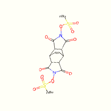 CCCCS(=O)(=O)ON1C(=O)C2C3C=CC(C2C1=O)C1C(=O)N(OS(=O)(=O)CCCC)C(=O)C31